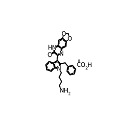 CC(=O)O.NCCCCn1c(Cc2ccccc2)c(-c2nc3cc4c(cc3[nH]c2=O)OCO4)c2ccccc21